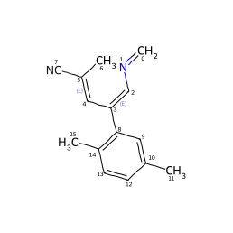 C=N/C=C(\C=C(/C)C#N)c1cc(C)ccc1C